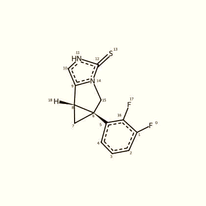 Fc1cccc([C@@]23C[C@@H]2c2c[nH]c(=S)n2C3)c1F